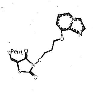 CCCCCC=C1SC(=O)N(CCCCOc2cccn3ccnc23)C1=O